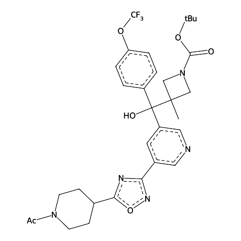 CC(=O)N1CCC(c2nc(-c3cncc(C(O)(c4ccc(OC(F)(F)F)cc4)C4(C)CN(C(=O)OC(C)(C)C)C4)c3)no2)CC1